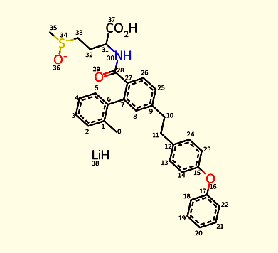 Cc1ccccc1-c1cc(CCc2ccc(Oc3ccccc3)cc2)ccc1C(=O)NC(CC[S+](C)[O-])C(=O)O.[LiH]